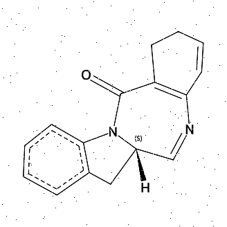 O=C1C2=C(C=CCC2)N=C[C@@H]2Cc3ccccc3N12